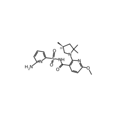 COc1ccc(C(=O)NS(=O)(=O)c2cccc(N)n2)c(N2C[C@@H](C)CC2(C)C)n1